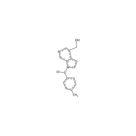 Cc1ccc([S+]([O-])n2ccc3c(CO)cncc32)cc1